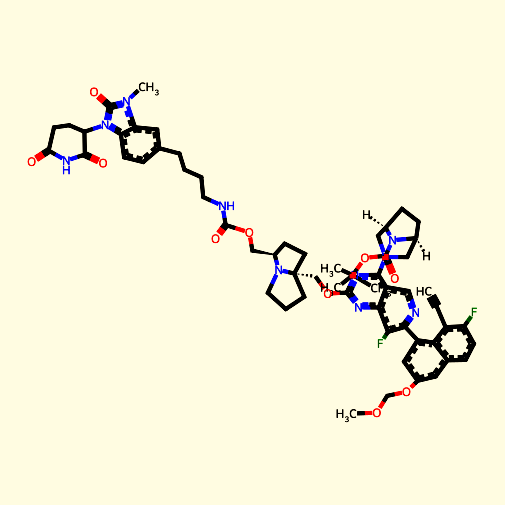 C#Cc1c(F)ccc2cc(OCOC)cc(-c3ncc4c(N5C[C@H]6CC[C@@H](C5)N6C(=O)OC(C)(C)C)nc(OC[C@]56CCCN5[C@@H](COC(=O)NCCCCc5ccc7c(c5)n(C)c(=O)n7C5CCC(=O)NC5=O)CC6)nc4c3F)c12